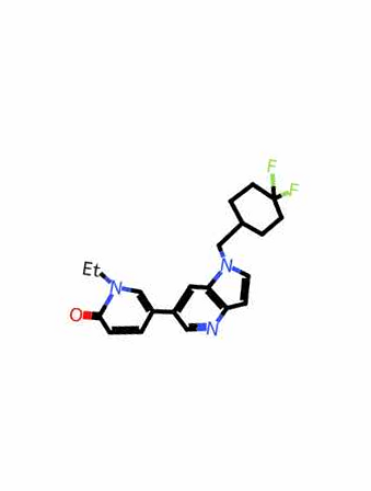 CCn1cc(-c2cnc3ccn(CC4CCC(F)(F)CC4)c3c2)ccc1=O